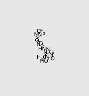 CN1c2nc(NCc3ccc(Oc4cnc(C(F)(F)F)nc4)nc3)nc3c2N(CCC3)C(=O)C1CO